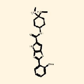 COc1ccccc1-c1nc2[nH]c(C(=O)NC3CCC([SiH2]C)([SiH2]C)CC3)cc2s1